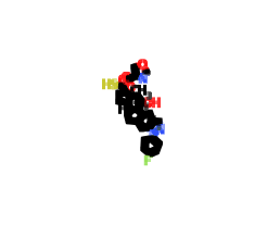 C[C@]12Cc3cnn(-c4ccc(F)cc4)c3C=C1CC[C@@H]1[C@@H]2[C@@H](O)C[C@@]2(C)[C@H]1CC[C@]2(OC(=O)c1cocn1)C(=O)S